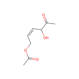 CC(=O)OC/C=C\C(O)C(C)=O